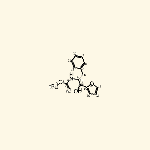 CC(C)(C)OC(=O)N[C@H](Cc1ccccc1)[C@H](O)c1ccco1